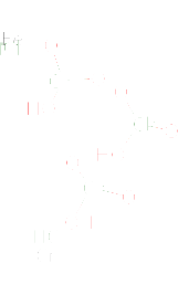 Cl.Cl.[Cr].[Fe].[O-][Cl+2]([O-])O.[O-][Cl+2]([O-])O.[O-][Cl+2]([O-])O